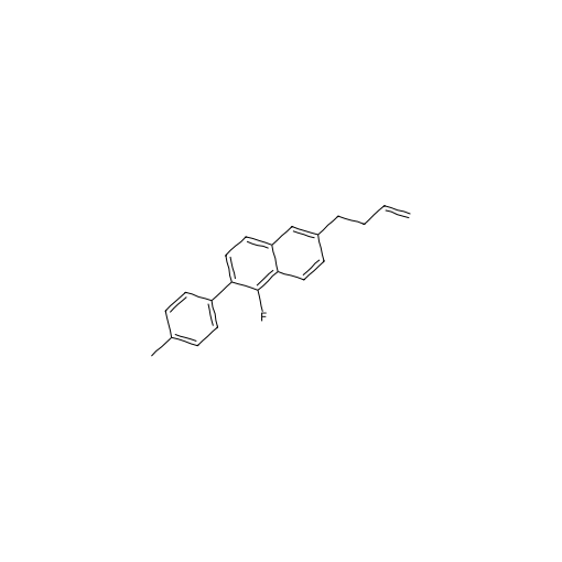 C=CCCc1ccc2c(F)c(-c3ccc(C)cc3)ccc2c1